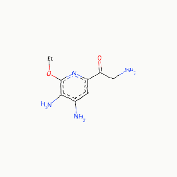 CCOc1nc(C(=O)CN)cc(N)c1N